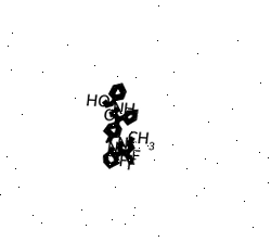 Cc1cc(C(F)(F)F)c2c3c(n(Cc4ccc(C(C(=O)NC(CO)c5ccccc5)C5CCCC5)cc4)c2n1)CCCC3